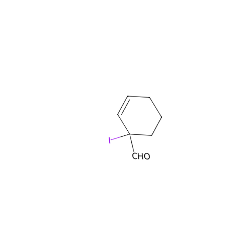 O=CC1(I)C=CCCC1